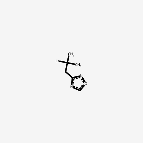 CCC(C)(C)Cc1ncon1